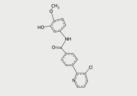 COc1ccc(NC(=O)c2ccc(-c3ncccc3Cl)cc2)cc1O